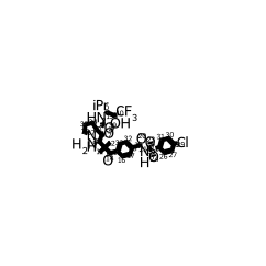 CC(C)C(NC(=O)[C@@]1(C(=O)[C@@H](N)C(C)(C)C(=O)c2ccc(C(=O)NS(=O)(=O)c3ccc(Cl)cc3)cc2)CCCN1)C(O)C(F)(F)F